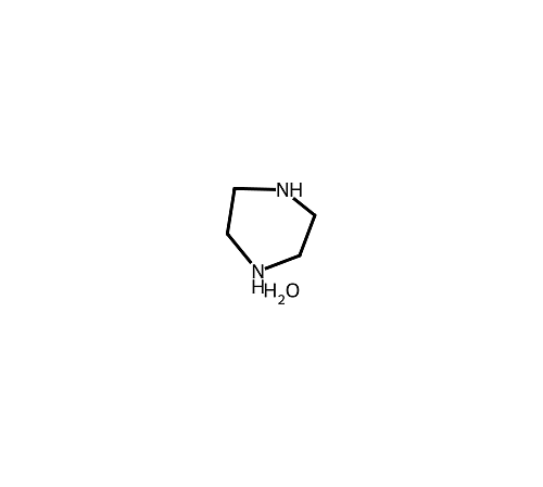 C1CNCCN1.O